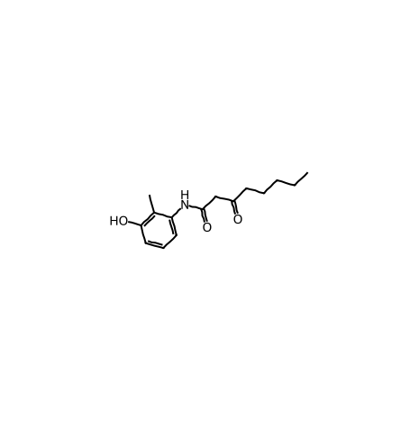 CCCCCC(=O)CC(=O)Nc1cccc(O)c1C